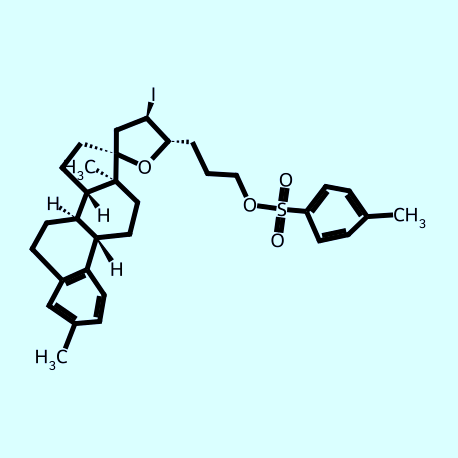 Cc1ccc(S(=O)(=O)OCCC[C@@H]2O[C@]3(CC[C@H]4[C@@H]5CCc6cc(C)ccc6[C@H]5CC[C@@]43C)C[C@H]2I)cc1